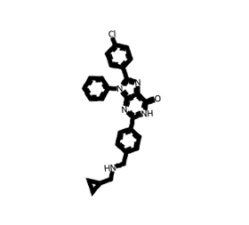 O=c1[nH]c(-c2ccc(CNCC3CC3)cc2)nc2c1nc(-c1ccc(Cl)cc1)n2-c1ccccc1